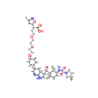 Cc1cc(C(CCOCCOCCOc2ccc(-c3cnc4[nH]cc(C(=O)c5c(F)ccc(NS(=O)(=O)N6CC[C@@H](F)C6)c5F)c4c3)cc2)C(=O)O)on1